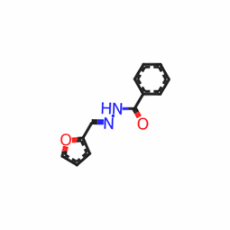 O=C(NN=Cc1ccco1)c1ccccc1